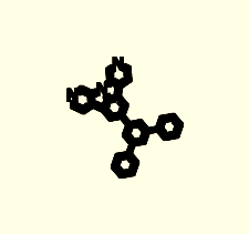 c1ccc(-c2cc(-c3ccccc3)cc(-c3cc4c5ccncc5n5c6cnccc6c(c3)c45)c2)cc1